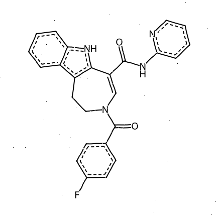 O=C(Nc1ccccn1)C1=CN(C(=O)c2ccc(F)cc2)CCc2c1[nH]c1ccccc21